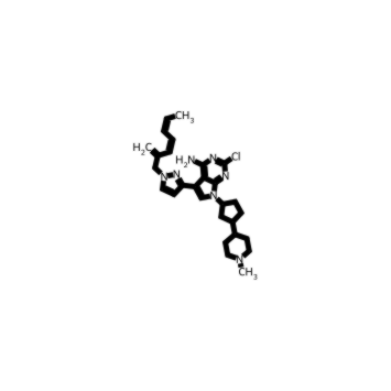 C=C(/C=C\C=C/C)Cn1ccc(-c2cn(C3CCC(C4CCN(C)CC4)C3)c3nc(Cl)nc(N)c23)n1